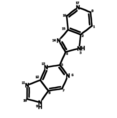 c1cc2[nH]c(-c3ncc4[nH]cnc4n3)nc2cn1